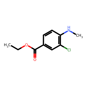 CCOC(=O)c1ccc(NC)c(Cl)c1